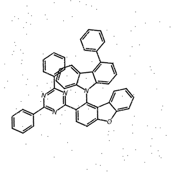 c1ccc(-c2nc(-c3ccccc3)nc(-c3ccc4oc5ccccc5c4c3-n3c4ccccc4c4c(-c5ccccc5)cccc43)n2)cc1